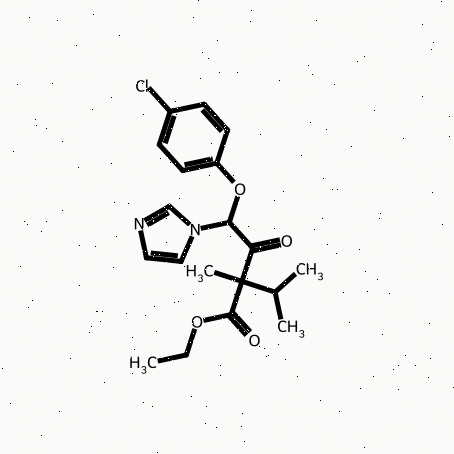 CCOC(=O)C(C)(C(=O)C(Oc1ccc(Cl)cc1)n1ccnc1)C(C)C